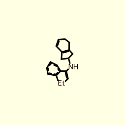 CCC=C(NC1CC2=C(CCC=C2)C1)c1ccccc1C